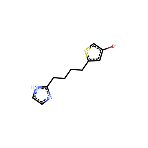 Brc1csc(CCCCc2ncc[nH]2)c1